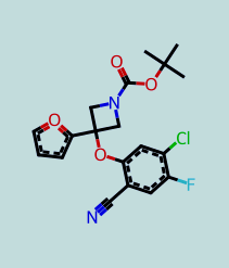 CC(C)(C)OC(=O)N1CC(Oc2cc(Cl)c(F)cc2C#N)(c2ccco2)C1